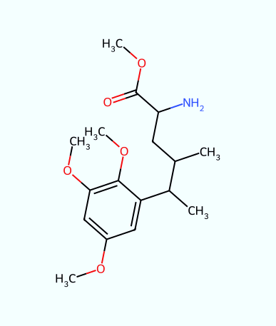 COC(=O)C(N)CC(C)C(C)c1cc(OC)cc(OC)c1OC